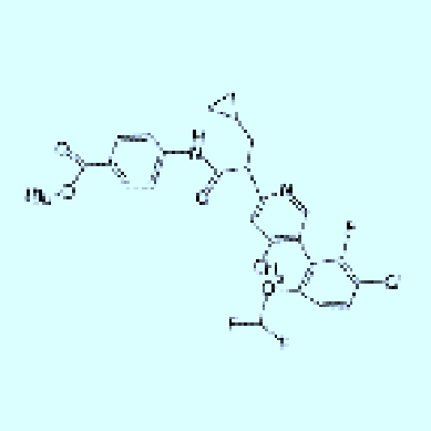 Cc1cc(C(CC2CC2)C(=O)Nc2ccc(C(=O)OC(C)(C)C)cc2)ncc1-c1c(OC(F)F)ccc(Cl)c1F